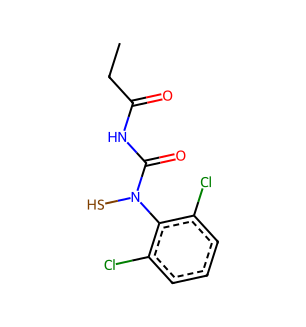 CCC(=O)NC(=O)N(S)c1c(Cl)cccc1Cl